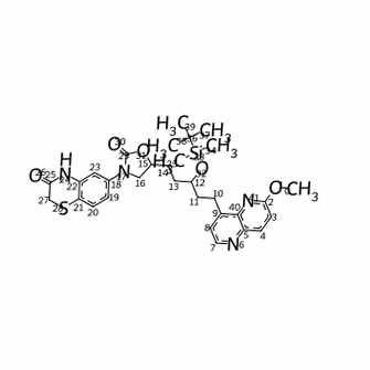 COc1ccc2nccc(CCC(CCC3CN(c4ccc5c(c4)NC(=O)CS5)C(=O)O3)O[Si](C)(C)C(C)(C)C)c2n1